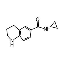 O=C(NC1CC1)c1ccc2c(c1)CCCN2